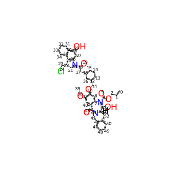 C=CCOC(=O)N1c2cc(OCc3cccc(CC(=O)N4C[C@@H](CCl)c5c4cc(O)c4ccccc54)c3)c(OC)cc2C(=O)N2Cc3ccccc3C[C@H]2C1O